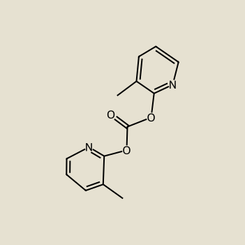 Cc1cccnc1OC(=O)Oc1ncccc1C